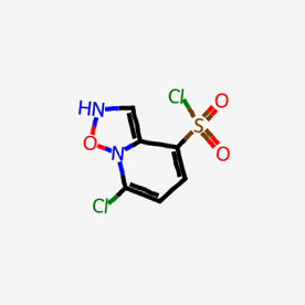 O=S(=O)(Cl)C1=CC=C(Cl)N2ONC=C12